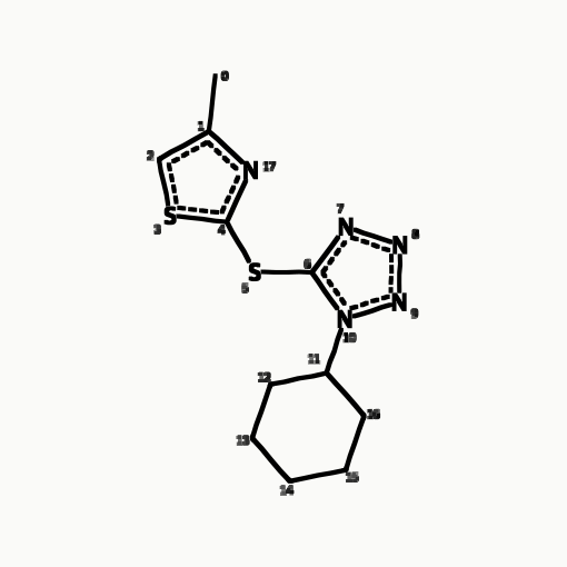 Cc1csc(Sc2nnnn2C2CCCCC2)n1